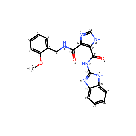 COc1ccccc1CNC(=O)c1nc[nH]c1C(=O)Nc1nc2ccccc2[nH]1